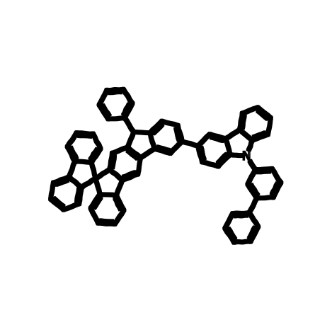 c1ccc(-c2cccc(-n3c4ccccc4c4cc(-c5ccc6c(c5)-c5cc7c(cc5C6c5ccccc5)C5(c6ccccc6-c6ccccc65)c5ccccc5-7)ccc43)c2)cc1